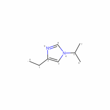 [CH2]Cc1cn(C(C)C)cn1